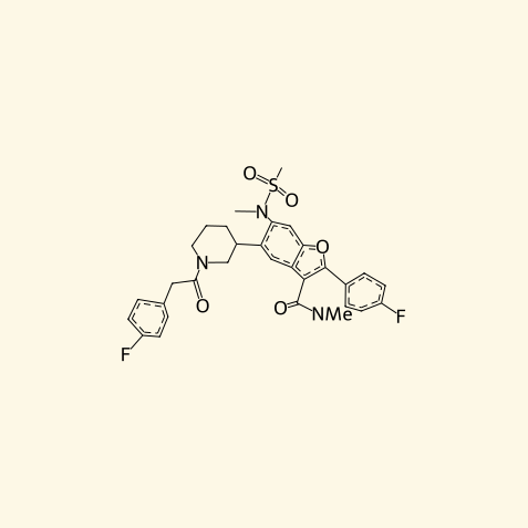 CNC(=O)c1c(-c2ccc(F)cc2)oc2cc(N(C)S(C)(=O)=O)c(C3CCCN(C(=O)Cc4ccc(F)cc4)C3)cc12